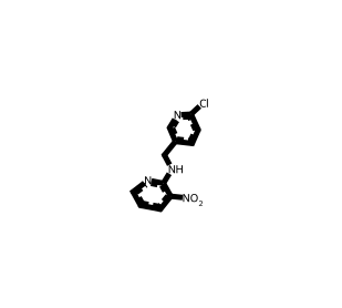 O=[N+]([O-])c1cccnc1NCc1ccc(Cl)nc1